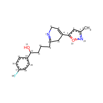 Cc1cc(C2=CCN=C(CCCC(O)c3ccc(F)cc3)C2)on1